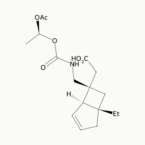 CC[C@@]12CC=C[C@H]1[C@](CNC(=O)O[C@@H](C)OC(C)=O)(CC(=O)O)C2